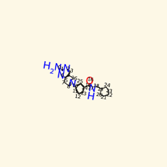 Nc1ncc2c(n1)CCN(c1cccc(C(=O)NCC3CCCCC3)c1)C2